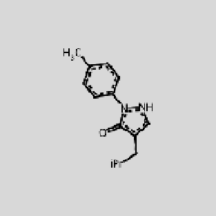 Cc1ccc(-n2[nH]cc(CC(C)C)c2=O)cc1